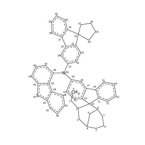 CCC1CC2CCCC(C2)C12c1ccccc1-c1cc(N(c3ccc4c(c3)-c3ccccc3C43CCCC3)c3cccc4sc5ccccc5c34)ccc12